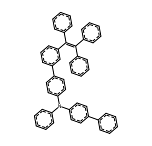 c1ccc(C(=C(c2ccccc2)c2cccc(-c3ccc(N(c4ccccc4)c4ccc(-c5ccccc5)cc4)cc3)c2)c2ccccc2)cc1